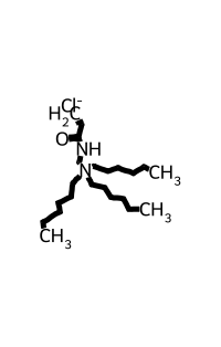 C=CC(=O)NC[N+](CCCCCC)(CCCCCC)CCCCCC.[Cl-]